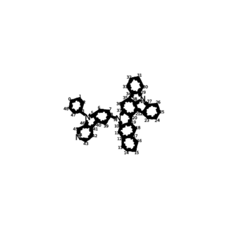 c1ccc(-n2c3ccc(-n4c5cc6ccccc6cc5c5c6c7ccccc7n7c8ccccc8c(cc54)c67)cc3c3ccncc32)cc1